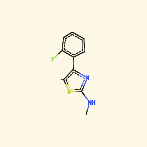 CNc1nc(-c2ccccc2F)[c]s1